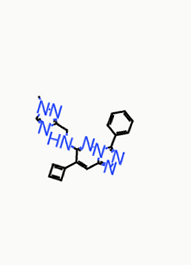 Cn1cnc(CNc2nn3c(-c4ccccc4)nnc3cc2C2=CC=C2)n1